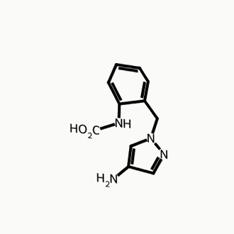 Nc1cnn(Cc2ccccc2NC(=O)O)c1